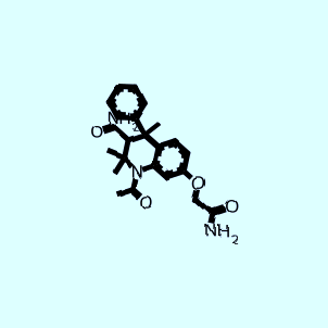 CC(=O)N1c2cc(OCC(N)=O)ccc2C(C)(c2ccccc2)C(C(N)=O)C1(C)C